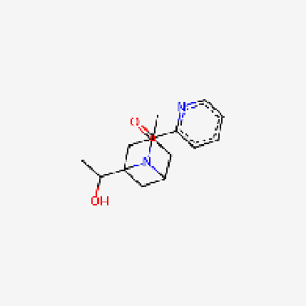 CC1CC2CC(C(C)O)(C1)N2C(=O)c1ccccn1